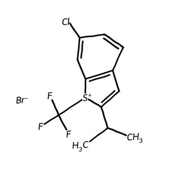 CC(C)c1cc2ccc(Cl)cc2[s+]1C(F)(F)F.[Br-]